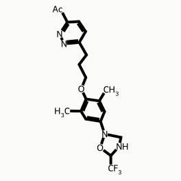 CC(=O)c1ccc(CCCOc2c(C)cc(N3CNC(C(F)(F)F)O3)cc2C)nn1